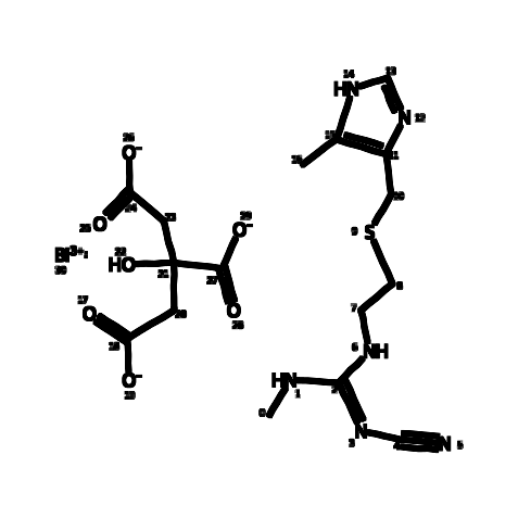 CN/C(=N/C#N)NCCSCc1nc[nH]c1C.O=C([O-])CC(O)(CC(=O)[O-])C(=O)[O-].[Bi+3]